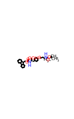 CC(C)(C)OC(=O)NCCCOc1ccc(C[C@H](NC(=O)OCC2c3ccccc3-c3ccccc32)C(=O)O)cc1